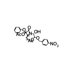 CC(=O)O[C@@]1(Oc2ccccc2)C(=O)N(C(O)C(=O)OCc2ccc([N+](=O)[O-])cc2)[C@@H]1SC(C)=O